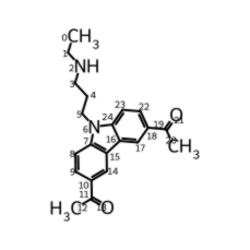 CCNCCCn1c2ccc(C(C)=O)cc2c2cc(C(C)=O)ccc21